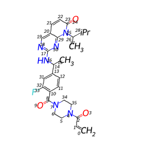 C=CC(=O)N1CCN(C(=O)c2ccc(C(C)Nc3ncc4ccc(=O)n(C(C)C(C)C)c4n3)cc2F)CC1